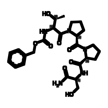 C[C@@H](O)[C@H](NC(=O)OCc1ccccc1)C(=O)N1CCC[C@H]1C(=O)N1CCC[C@H]1C(=O)N[C@@H](CO)C(N)=O